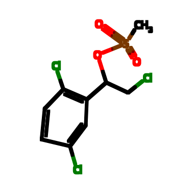 CS(=O)(=O)OC(CCl)c1cc(Cl)ccc1Cl